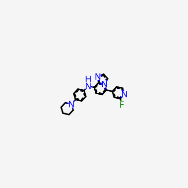 Fc1cc(-c2ccc(Nc3ccc(N4CCCCC4)cc3)c3nccn23)ccn1